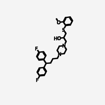 COc1ccccc1SCC(O)CN1CCN(CCCC(c2ccc(F)cc2)c2ccc(F)cc2)CC1